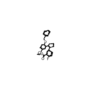 CCOC(=O)c1cc(C2=C(c3cc(Cl)ccc3OCc3ccccc3)CCC2)ccc1F